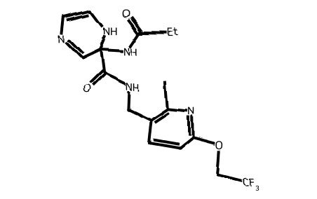 CCC(=O)NC1(C(=O)NCc2ccc(OCC(F)(F)F)nc2C)C=NC=CN1